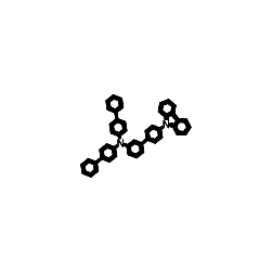 c1ccc(-c2ccc(N(c3ccc(-c4ccccc4)cc3)c3cccc(-c4ccc(-n5c6ccccc6c6ccccc65)cc4)c3)cc2)cc1